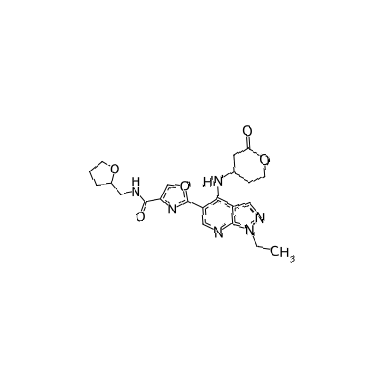 CCn1ncc2c(NC3CCOC(=O)C3)c(-c3nc(C(=O)NCC4CCCO4)co3)cnc21